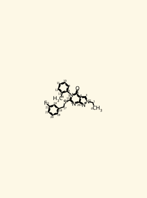 CCn1cc2c(=O)n(-c3ccccc3C)c(SCc3cccc(F)c3)nc2n1